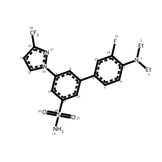 CCN(CC)c1ccc(-c2cc(-n3ccc(C(F)(F)F)n3)cc(S(N)(=O)=O)c2)cc1F